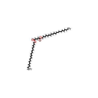 CC(C)CCCCCCCCCCCCCCCCCCCOC(=O)CCCC(=O)OCCCCCCCCCCCCCCCCCCCC(C)C